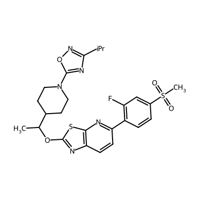 CC(C)c1noc(N2CCC(C(C)Oc3nc4ccc(-c5ccc(S(C)(=O)=O)cc5F)nc4s3)CC2)n1